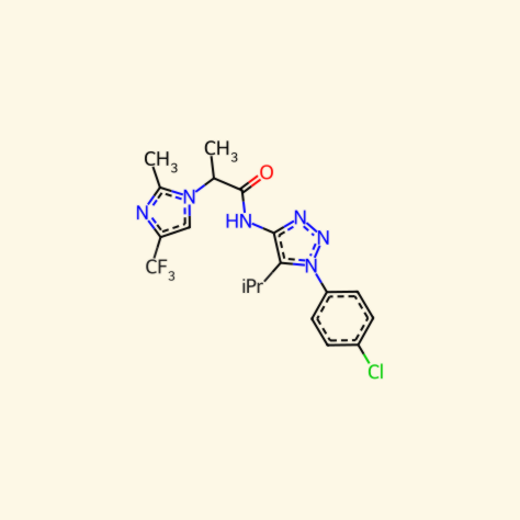 Cc1nc(C(F)(F)F)cn1C(C)C(=O)Nc1nnn(-c2ccc(Cl)cc2)c1C(C)C